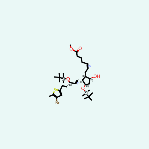 COC(=O)CCC/C=C\C[C@@H]1[C@@H](/C=C/[C@H](CCc2cc(Br)c(C)s2)O[Si](C)(C)C(C)(C)C)[C@H](O[Si](C)(C)C(C)(C)C)C[C@@H]1O